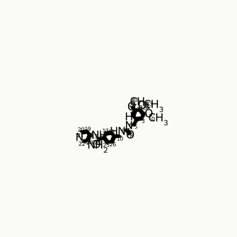 COc1cc(CNC(=O)NCc2ccc(C(=O)Nc3ccncc3N)cc2)cc(OC)c1OC